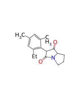 CCc1cc(C)cc(C)c1C1C(=O)C2CCCN2C1=O